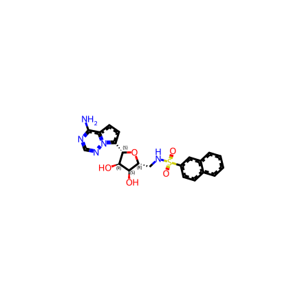 Nc1ncnn2c([C@@H]3O[C@H](CNS(=O)(=O)c4ccc5ccccc5c4)[C@@H](O)[C@H]3O)ccc12